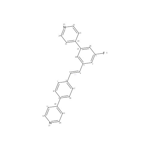 Fc1cc(/C=C/c2ccc(-c3ccncc3)cc2)cc(-c2ccncc2)c1